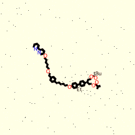 C=C(C)C(=O)OCCC(CCOC(=O)C(C)(C)C)c1ccc(-c2ccc(OCCCCCCc3ccc(CCOCCCCCCOc4ccc(-c5ccccn5)nc4)cc3)cc2CC)cc1